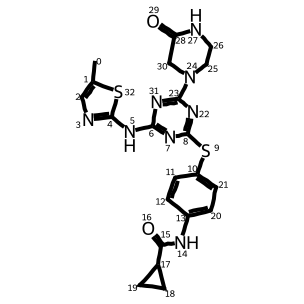 Cc1cnc(Nc2nc(Sc3ccc(NC(=O)C4CC4)cc3)nc(N3CCNC(=O)C3)n2)s1